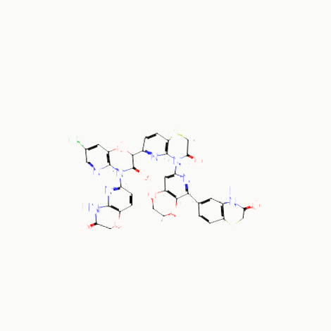 O=C1CSc2ccc(-c3nc(N4C(=O)CSc5ccc(C6Oc7cc(Cl)[c]nc7N(c7ccc8c(n7)NC(=O)CO8)C6=O)nc54)cc4c3OCCO4)cc2N1